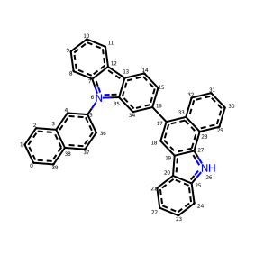 c1ccc2cc(-n3c4ccccc4c4ccc(-c5cc6c7ccccc7[nH]c6c6ccccc56)cc43)ccc2c1